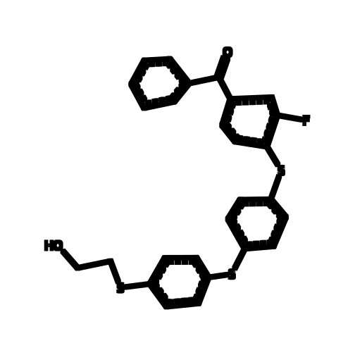 O=C(c1ccccc1)c1ccc(Sc2ccc(Sc3ccc(SCCO)cc3)cc2)c(F)c1